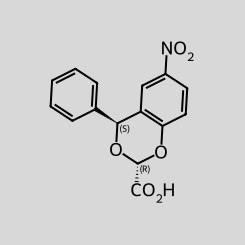 O=C(O)[C@H]1Oc2ccc([N+](=O)[O-])cc2[C@H](c2ccccc2)O1